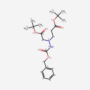 CC(C)(C)OC(=O)CCN(CC(=O)OC(C)(C)C)NC(=O)OCc1ccccc1